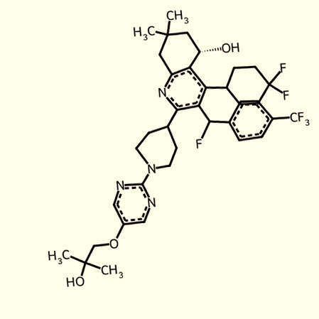 CC(C)(O)COc1cnc(N2CCC(c3nc4c(c(C5CCC(F)(F)CC5)c3C(F)c3ccc(C(F)(F)F)cc3)[C@@H](O)CC(C)(C)C4)CC2)nc1